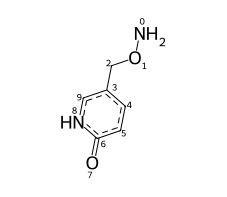 NOCc1ccc(=O)[nH]c1